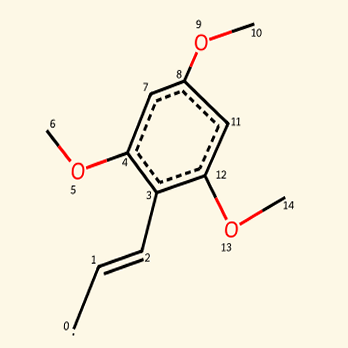 [CH2]C=Cc1c(OC)cc(OC)cc1OC